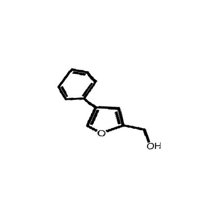 OCc1cc(-c2ccccc2)co1